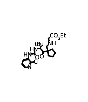 CCOC(=O)CNCC1(C(=O)C(NC(=O)Nc2cccnc2Cl)C(C)(C)C)CCCC1